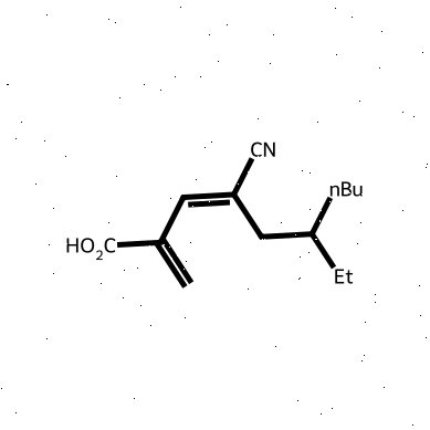 C=C(C=C(C#N)CC(CC)CCCC)C(=O)O